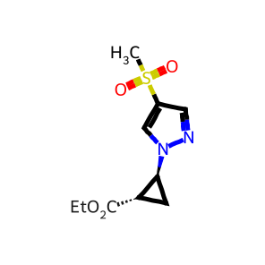 CCOC(=O)[C@H]1C[C@@H]1n1cc(S(C)(=O)=O)cn1